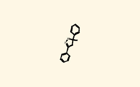 CC1(c2ccccc2)CC(c2ccccc2)=N[N]1